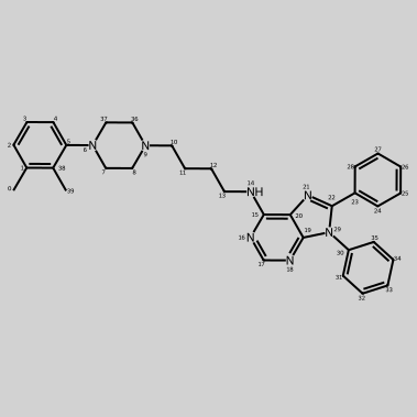 Cc1cccc(N2CCN(CCCCNc3ncnc4c3nc(-c3ccccc3)n4-c3ccccc3)CC2)c1C